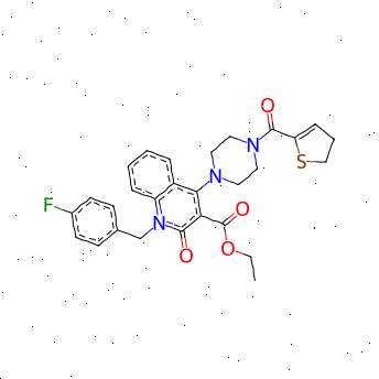 CCOC(=O)c1c(N2CCN(C(=O)C3=CCCS3)CC2)c2ccccc2n(Cc2ccc(F)cc2)c1=O